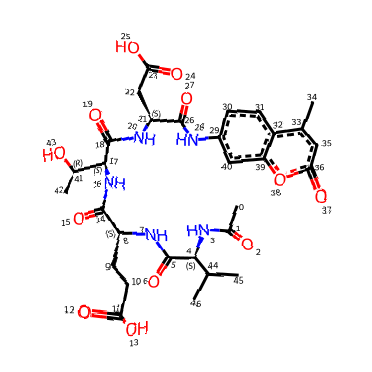 CC(=O)N[C@H](C(=O)N[C@@H](CCC(=O)O)C(=O)N[C@H](C(=O)N[C@@H](CC(=O)O)C(=O)Nc1ccc2c(C)cc(=O)oc2c1)[C@@H](C)O)C(C)C